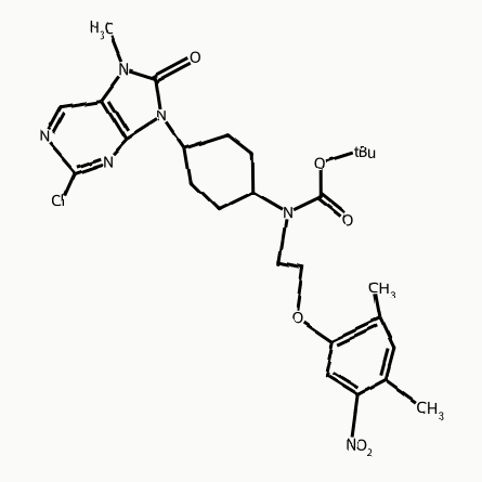 Cc1cc(C)c([N+](=O)[O-])cc1OCCN(C(=O)OC(C)(C)C)C1CCC(n2c(=O)n(C)c3cnc(Cl)nc32)CC1